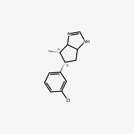 C[C@@H]1C2N=CNC2C[C@@H]1c1cccc(Cl)c1